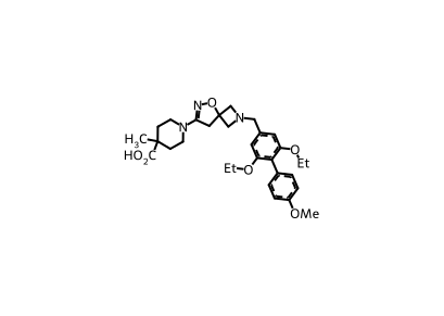 CCOc1cc(CN2CC3(CC(N4CCC(C)(C(=O)O)CC4)=NO3)C2)cc(OCC)c1-c1ccc(OC)cc1